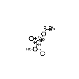 CNC(=O)c1ccc(S(=O)(=O)Nc2nc3ccccc3nc2Nc2cc(O)ccc2CC2CCCCC2)cc1